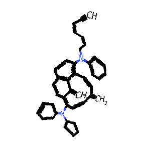 C#C/C=C\C=C/CN(c1ccccc1)c1ccc2ccc3c(N(c4ccccc4)C4C=CC=C4)ccc(=C)ccc1c2c3=C